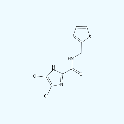 O=C(NCc1cccs1)c1nc(Cl)c(Cl)[nH]1